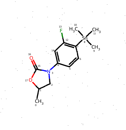 CC1CN(c2cc[c]([Sn]([CH3])([CH3])[CH3])c(F)c2)C(=O)O1